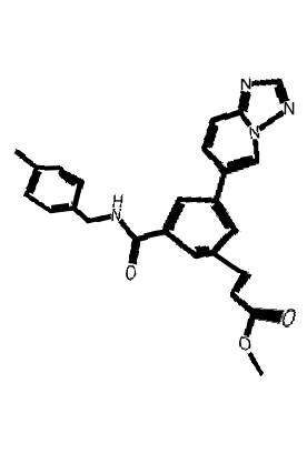 COC(=O)/C=C/c1cc(C(=O)NCc2ccc(C)cc2)cc(-c2ccc3ncnn3c2)c1